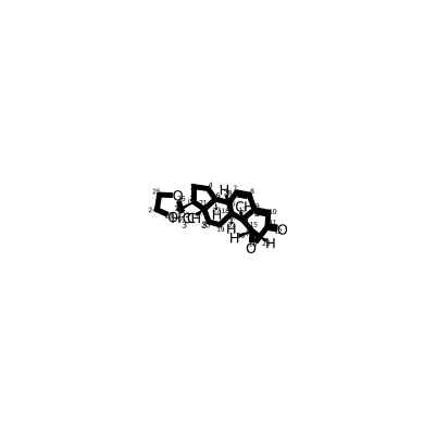 CC1([C@H]2CC[C@H]3[C@@H]4C=CC5=CC(=O)[C@@H]6O[C@@H]6[C@]5(C)[C@H]4CC[C@]23C)OCCO1